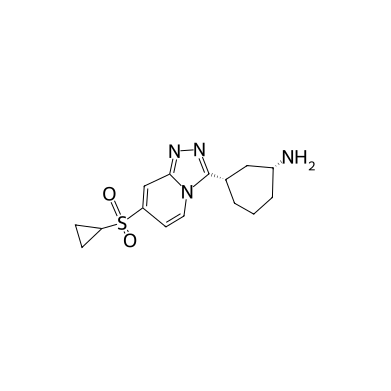 N[C@@H]1CCC[C@H](c2nnc3cc(S(=O)(=O)C4CC4)ccn23)C1